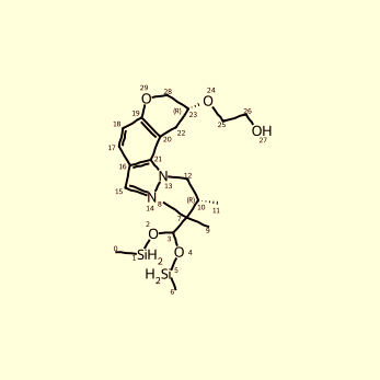 C[SiH2]OC(O[SiH2]C)C(C)(C)[C@@H](C)Cn1ncc2ccc3c(c21)C[C@@H](OCCO)CO3